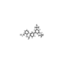 C=C(Sc1ccccc1N)c1ccc(-c2cc(CC(F)(F)F)cc(C(F)(F)F)c2)cc1